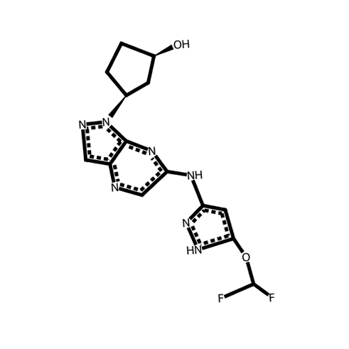 O[C@@H]1CC[C@H](n2ncc3ncc(Nc4cc(OC(F)F)[nH]n4)nc32)C1